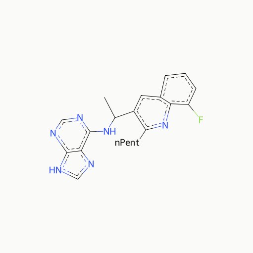 CCCCCc1nc2c(F)cccc2cc1C(C)Nc1ncnc2[nH]cnc12